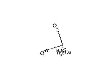 CC(C)(C)[Si](C)(C)OC1CC(CCCCCCCCCOCc2ccccc2)(CCCCCCCCCOCc2ccccc2)C1